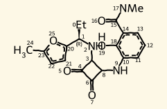 CC[C@@H](NC1C(=O)C(=O)C1Nc1cccc(C(=O)NC)c1O)c1ccc(C)o1